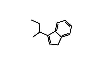 CCC(C)C1=CCc2ccccc21